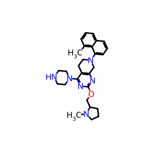 Cc1cccc2cccc(N3CCc4c(nc(OCC5CCCN5C)nc4N4CCNCC4)C3)c12